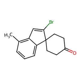 Cc1cccc2c1C=C(Br)C21CCC(=O)CC1